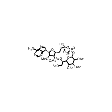 CO[C@@H]1[C@H](OC)[C@@H](COP(=O)(O)OP(=O)(O)O[C@@H]2O[C@H]([C@@H](COC(C)=O)OC(C)=O)[C@@H](OC(C)=O)[C@H](OC(C)=O)[C@@H]2OC(C)=O)O[C@H]1n1cnc2c(N)ncnc21